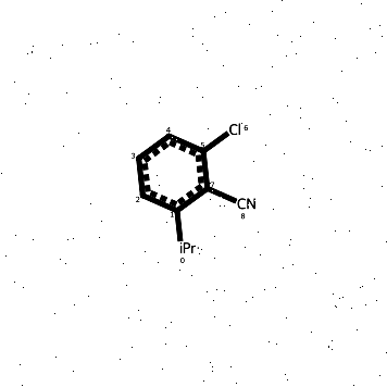 C[C](C)c1cccc(Cl)c1C#N